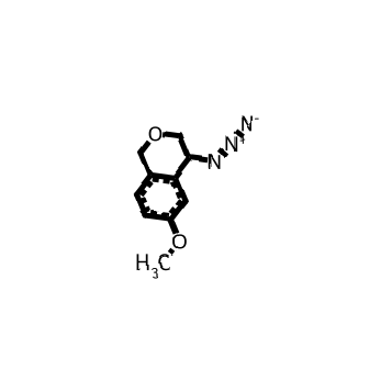 COc1ccc2c(c1)C(N=[N+]=[N-])COC2